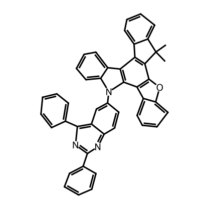 CC1(C)c2ccccc2-c2c1c1oc3ccccc3c1c1c2c2ccccc2n1-c1ccc2nc(-c3ccccc3)nc(-c3ccccc3)c2c1